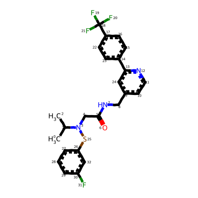 CC(C)N(CC(=O)NCc1ccnc(-c2ccc(C(F)(F)F)cc2)c1)Sc1cccc(F)c1